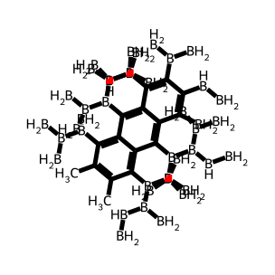 BBB(B)B(B(B)B)c1c(C)c(C)c(B(B)B(B)B)c2c(B(B(B)B)B(B)B(B)B)c3c(B(B)BB)c(B(B)B)c(BB)c(B)c3c(B(B(B)B)B(BB)B(B)B)c12